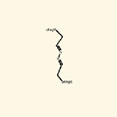 CCCCCCCCC=NN=CCCCCCCCC